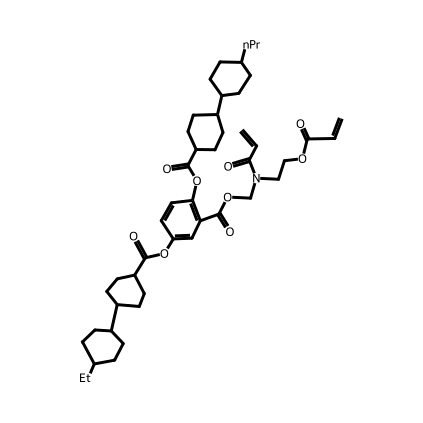 C=CC(=O)OCCN(COC(=O)c1cc(OC(=O)C2CCC(C3CCC(CC)CC3)CC2)ccc1OC(=O)C1CCC(C2CCC(CCC)CC2)CC1)C(=O)C=C